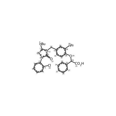 CCCCc1nn(-c2ccccc2Cl)c(=O)n1Cc1ccc(OC(C(=O)O)c2ccccc2)c(CCC)c1